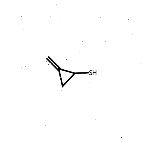 C=C1CC1S